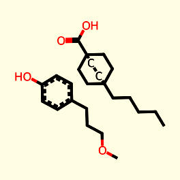 CCCCCC12CCC(C(=O)O)(CC1)CC2.COCCCc1ccc(O)cc1